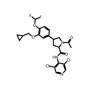 CC(=O)N1CC(c2ccc(OC(F)F)c(OCC3CC3)c2)CC1C(=O)Nc1c(Cl)cncc1Cl